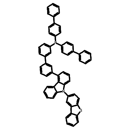 c1ccc(-c2ccc(N(c3ccc(-c4ccccc4)cc3)c3cccc(-c4cccc(-c5cccc6c5c5ccccc5n6-c5ccc6sc7ccccc7c6c5)c4)c3)cc2)cc1